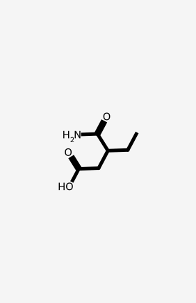 CC[C](CC(=O)O)C(N)=O